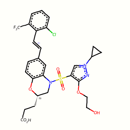 O=C(O)CC[C@H]1CN(S(=O)(=O)c2cn(C3CC3)nc2OCCO)c2cc(/C=C/c3c(Cl)cccc3C(F)(F)F)ccc2O1